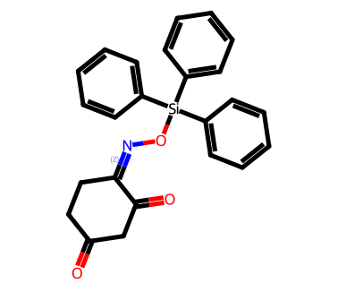 O=C1CC/C(=N/O[Si](c2ccccc2)(c2ccccc2)c2ccccc2)C(=O)C1